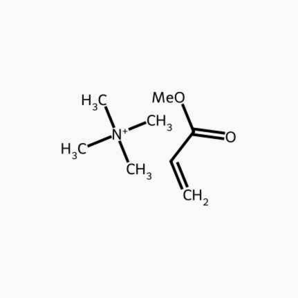 C=CC(=O)OC.C[N+](C)(C)C